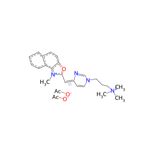 CC(=O)[O-].CC(=O)[O-].C[n+]1c(/C=C2/C=CN(CCC[N+](C)(C)C)C=N2)oc2ccc3ccccc3c21